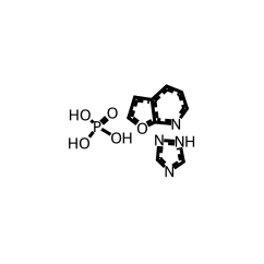 O=P(O)(O)O.c1cnc2occc2c1.c1nc[nH]n1